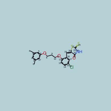 Cc1cc(C)cc(OCCCOc2ccc(Cl)cc2C=C2SC(=S)NC2=O)c1